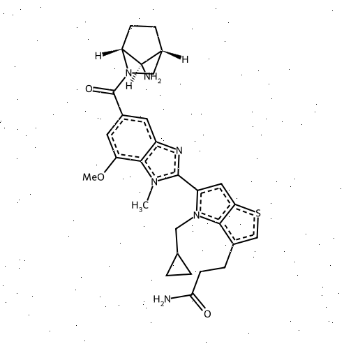 COc1cc(C(=O)N2C[C@H]3CC[C@@H]2[C@@H]3N)cc2nc(-c3cc4scc(CCC(N)=O)c4n3CC3CC3)n(C)c12